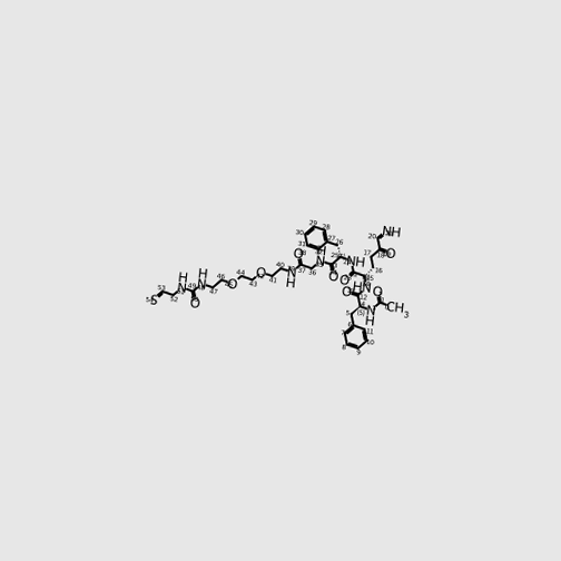 CC(=O)N[C@@H](Cc1ccccc1)C(=O)N[C@@H](CCC(=O)C=N)C(=O)N[C@@H](Cc1ccccc1)C(=O)NCC(=O)NCCOCCOCCNC(=O)NCC=S